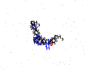 Cc1ccc2oc(Nc3ccc(-c4nn([C@H]5CC[C@@H](N6CCN(C)CC6)CC5)c5ncnc(N)c45)cc3)nc2c1